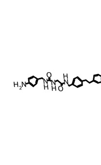 Nc1ccc(CNC(=O)NCC(=O)NCc2ccc(CCc3ccccc3)cc2)cc1